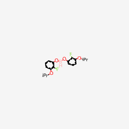 CC(C)Oc1cccc(OBOc2cccc(OC(C)C)c2F)c1F